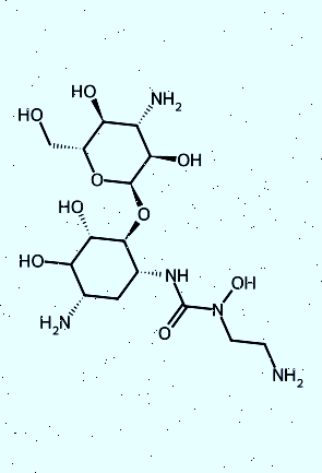 NCCN(O)C(=O)N[C@@H]1C[C@H](N)C(O)[C@H](O)[C@H]1O[C@H]1O[C@H](CO)[C@@H](O)[C@H](N)[C@H]1O